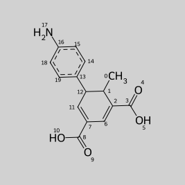 CC1C(C(=O)O)=CC(C(=O)O)=CC1c1ccc(N)cc1